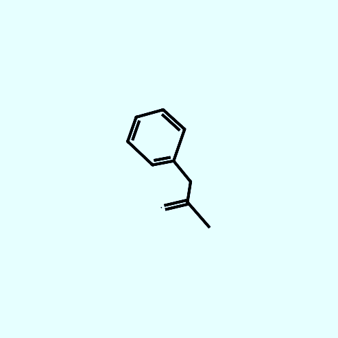 [CH]=C(C)Cc1ccccc1